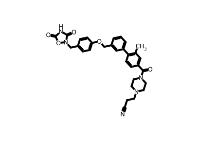 Cc1cc(C(=O)N2CCN(CCC#N)CC2)ccc1-c1cccc(COc2ccc(Cn3oc(=O)[nH]c3=O)cc2)c1